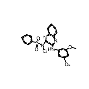 COc1cc(Nc2nc3ccccc3nc2N(Cl)S(=O)(=O)c2ccccc2)cc(OC)c1